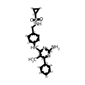 Cc1c(Nc2ccc(CNS(=O)(=O)C3CC3)cc2)nc(N)nc1-c1ccccc1